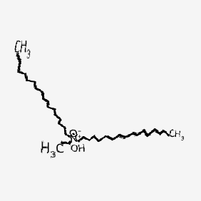 CCCCCCCCCCCCCCCCCC[N+]([O-])(CCCCCCCCCCCCCCCCCC)C(O)CC